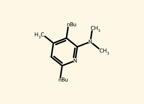 CCCCc1[c]c(C)c(CCCC)c(N(C)C)n1